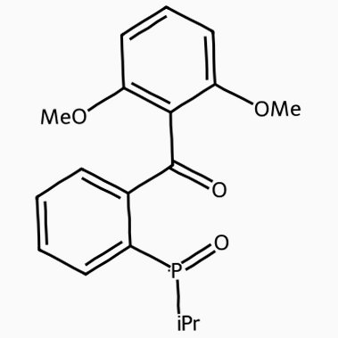 COc1cccc(OC)c1C(=O)c1ccccc1[P](=O)C(C)C